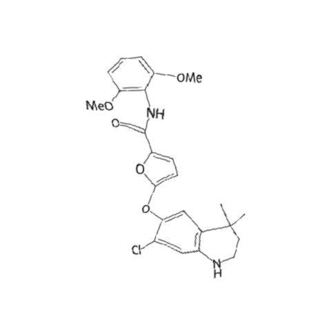 COc1cccc(OC)c1NC(=O)c1ccc(Oc2cc3c(cc2Cl)NCCC3(C)C)o1